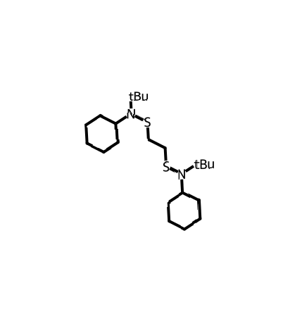 CC(C)(C)N(SCCSN(C1CCCCC1)C(C)(C)C)C1CCCCC1